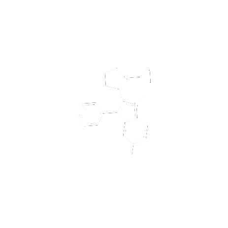 Cn1c(C2CCCN2[C]2CC2)c(-c2ccccc2)c2cc(Cl)ccc21